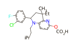 CCC1(C)CC(c2ccc(F)c(Cl)c2)N(CCC(C)C)c2ccc(OC(=O)O)nc21